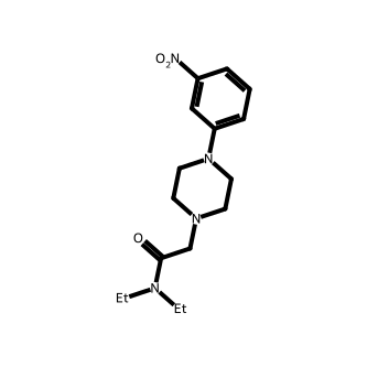 CCN(CC)C(=O)CN1CCN(c2cccc([N+](=O)[O-])c2)CC1